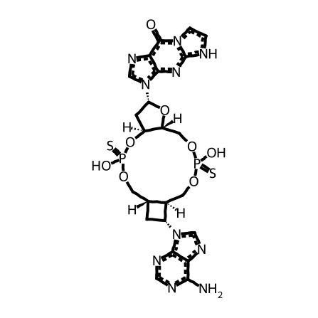 Nc1ncnc2c1ncn2[C@@H]1C[C@@H]2COP(O)(=S)O[C@H]3C[C@H](n4cnc5c(=O)n6cc[nH]c6nc54)O[C@@H]3COP(O)(=S)OC[C@H]21